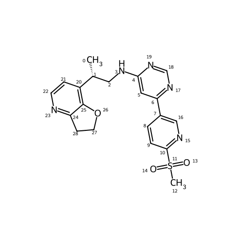 C[C@H](CNc1cc(-c2ccc(S(C)(=O)=O)nc2)ncn1)c1ccnc2c1OCC2